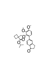 COc1ccc(-c2ccc3c(c2)CCC3=O)c(OCC2(C(=O)OC(C)C)CCC2)c1OC